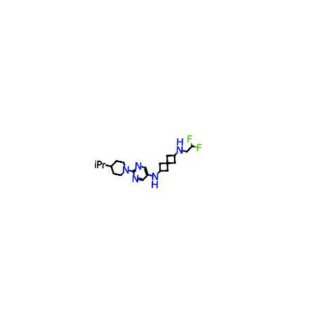 CC(C)C1CCN(c2ncc(NC3CC4(CC(NCC(F)F)C4)C3)cn2)CC1